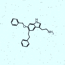 NCCc1c[nH]c2cc(OCc3ccccc3)c(CCc3ccccc3)cc12